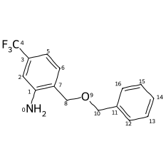 Nc1cc(C(F)(F)F)ccc1COCc1ccccc1